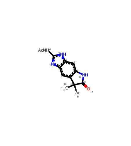 CC(=O)Nc1nc2cc3c(cc2[nH]1)NC(=O)C3(C)C(C)=O